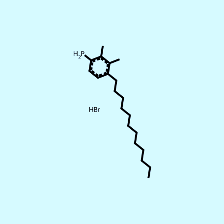 Br.CCCCCCCCCCCCc1ccc(P)c(C)c1C